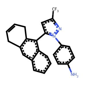 Nc1ccc(-n2nc(C(F)(F)F)cc2-c2c3c(cc4ccccc24)CC=CC3)cc1